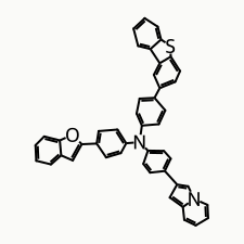 c1ccc2oc(-c3ccc(N(c4ccc(-c5ccc6sc7ccccc7c6c5)cc4)c4ccc(-c5cc6ccccn6c5)cc4)cc3)cc2c1